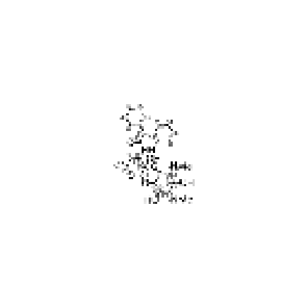 CN[C@@H]1[C@H](O)[C@H](NC)C2O[C@]3(O)C(OC2[C@@H]1O)O[C@H](C)C[C@H]3NC(=O)C(c1ccccc1)c1ccccc1